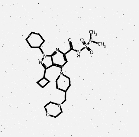 CN(C)S(=O)(=O)NC(=O)c1cc(N2CCC(CN3CCOCC3)CC2)c2c(C3CCC3)nn(C3CCCCC3)c2n1